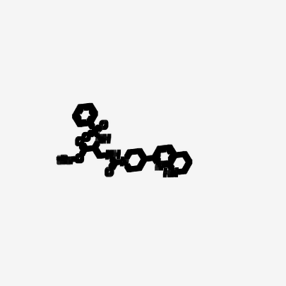 CC(C)(C)OC(=O)C(CNC(=O)N1CCC(c2ccc3c(n2)NCCC3)CC1)NS(=O)(=O)c1ccccc1